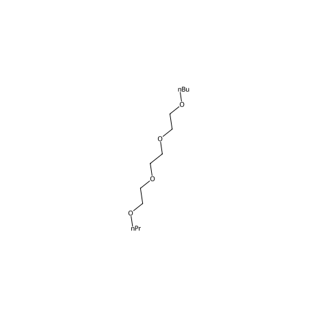 C[CH]COCCOCCOCCOCCCC